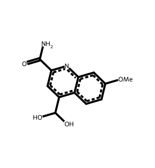 COc1ccc2c(C(O)O)cc(C(N)=O)nc2c1